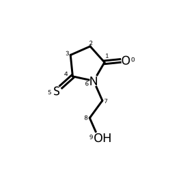 O=C1CCC(=S)N1CCO